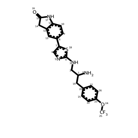 NC(CNc1ncc(-c2ccc3c(c2)CC(=O)N3)s1)Cc1ccc(OC(F)(F)F)cc1